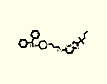 CCCC(C)(C)c1cn2nc(NCCCN3CCC(NC(c4ccccc4)c4ccccc4)CC3)ccc2n1